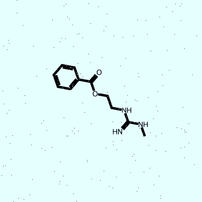 CNC(=N)NCCOC(=O)c1ccccc1